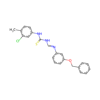 Cc1ccc(NC(=S)NC=Nc2cccc(OCc3ccccc3)c2)cc1Cl